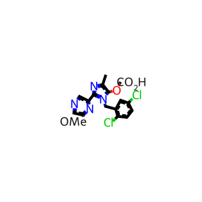 COc1cncc(-c2nc(C)c(OC(=O)O)n2Cc2cc(Cl)ccc2Cl)n1